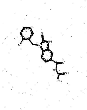 N=C(N)NC(=O)c1ccc2c(c1)[nH]c(=O)n2Cc1ccccc1Cl